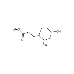 COC(=O)CCN1CC[C](O)CC1C(C)(C)C